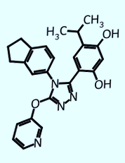 CC(C)c1cc(-c2nnc(Oc3cccnc3)n2-c2ccc3c(c2)CCC3)c(O)cc1O